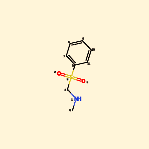 CN[CH]S(=O)(=O)c1ccccc1